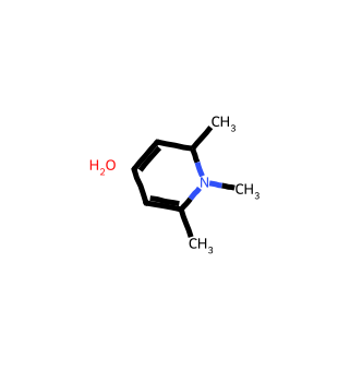 CC1=CC=CC(C)N1C.O